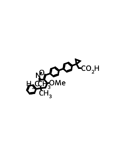 COC(CC(C)(C)c1ccccc1)c1c(C)noc1-c1ccc(-c2ccc(C3(CC(=O)O)CC3)cc2)cc1